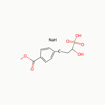 COC(=O)c1ccc(CCC(O)S(=O)(=O)O)cc1.[NaH]